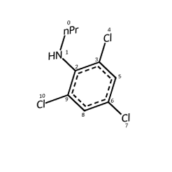 CCCNc1c(Cl)cc(Cl)cc1Cl